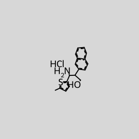 Cc1ccc(C(N)C(CO)c2ccc3ccccc3c2)s1.Cl